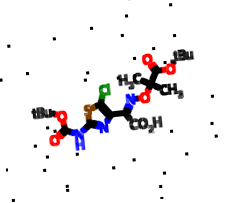 CC(C)(C)OC(=O)Nc1nc(C(=NOC(C)(C)C(=O)OC(C)(C)C)C(=O)O)c(Cl)s1